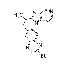 CCc1cnc2cc(CC(C)c3nc4ccncc4s3)ccc2n1